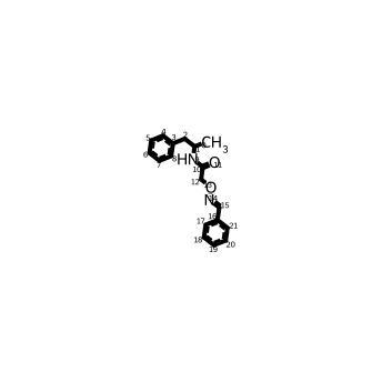 CC(Cc1ccccc1)NC(=O)CO/N=C/c1ccccc1